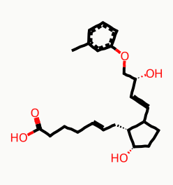 Cc1cccc(OC[C@H](O)/C=C/C2CC[C@H](O)[C@@H]2C/C=C/CCCC(=O)O)c1